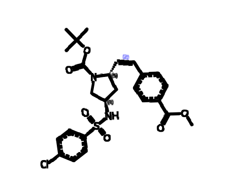 COC(=O)c1ccc(/C=C\[C@@H]2C[C@@H](NS(=O)(=O)c3ccc(Cl)cc3)CN2C(=O)OC(C)(C)C)cc1